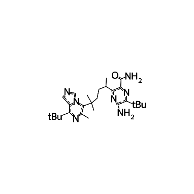 Cc1nc(C(C)(C)C)c2cncn2c1C(C)(C)CCC(C)c1nc(N)c(C(C)(C)C)nc1C(N)=O